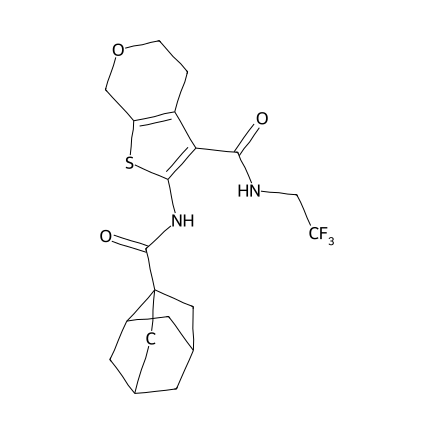 O=C(NCC(F)(F)F)c1c(NC(=O)C23CC4CC(CC2C4)C3)sc2c1CCOC2